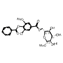 COc1cc(C(=O)OC[C@H]2O[C@@H](OC)[C@H](O)[C@@H](O)[C@@H]2O)cc(Cl)c1OC(=O)c1ccccc1